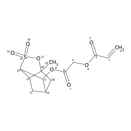 C=CC(=O)OCC(=O)OC1C2CC3C1S(=O)(=O)OC3(C)C2